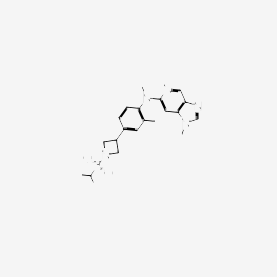 CCc1cc(C2CN(S(=O)(=O)C(F)F)C2)ccc1N(C)c1cc2c(cn1)ncn2C